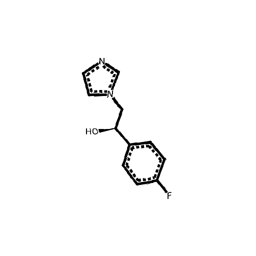 O[C@@H](Cn1ccnc1)c1ccc(F)cc1